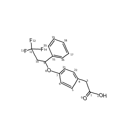 O=C(O)Cc1ccc(OC(CC(F)(F)F)c2ccccc2)cc1